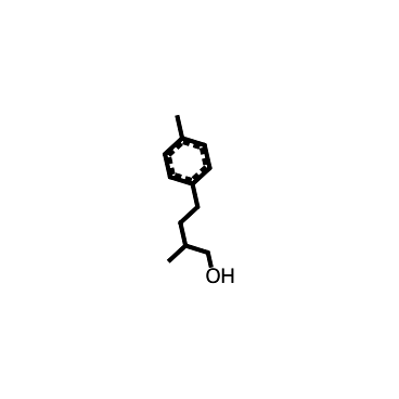 Cc1ccc(CCC(C)CO)cc1